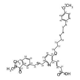 COc1ccc(CCCCCCCCOc2ccc(CSCc3cccc(C(=O)N(C)C)c3)nc2C=CCC(=O)O)cc1